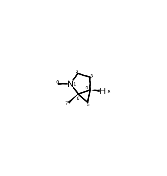 CN1CC[C@@H]2C[C@@]21C